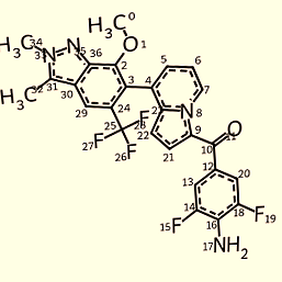 COc1c(-c2cccn3c(C(=O)c4cc(F)c(N)c(F)c4)ccc23)c(C(F)(F)F)cc2c(C)n(C)nc12